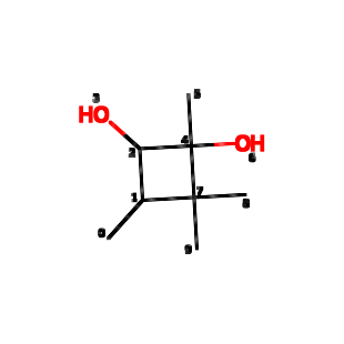 CC1C(O)C(C)(O)C1(C)C